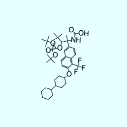 CC(C)(C)OP(=O)(OC(C(C)(C)C)C(C)(NC(=O)O)c1ccc2c(C(F)(F)F)c(OC3CCC(C4CCCCC4)CC3)ccc2c1)OC(C)(C)C